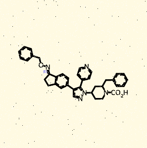 O=C(O)N1CCC(n2ncc(-c3ccc4c(c3)CC/C4=N\OCc3ccccc3)c2-c2ccncc2)CC1Cc1ccccc1